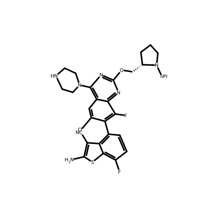 CCCN1CCC[C@H]1COc1nc(N2CCNCC2)c2cc(Cl)c(-c3ccc(F)c4sc(N)c(C#N)c34)c(F)c2n1